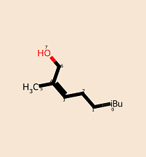 CCC(C)CCC=C(C)CO